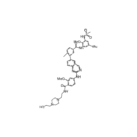 COc1cc(Nc2ncc3cc(-c4cc(C(=O)Nc5cc(C(C)(C)C)cc(NS(C)(=O)=O)c5OC)ccc4C)ccc3n2)ccc1C(=O)NCCN1CCN(CCO)CC1